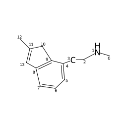 CNCCc1cccc2c1CC(C)=C2